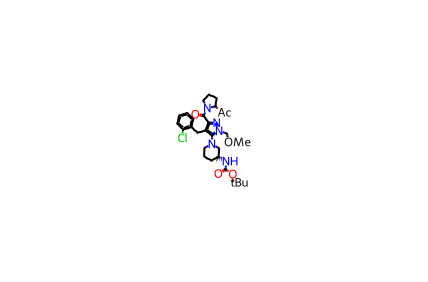 COCn1nc(C(=O)N2CCCC2C(C)=O)c(Cc2ccccc2Cl)c1N1CCC[C@@H](NC(=O)OC(C)(C)C)C1